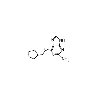 Nc1nc(OCC2CCCC2)c2nc[nH]c2n1